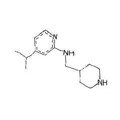 CC(C)c1ccnc(NCC2CCNCC2)c1